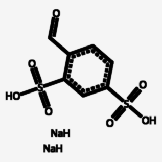 O=Cc1ccc(S(=O)(=O)O)cc1S(=O)(=O)O.[NaH].[NaH]